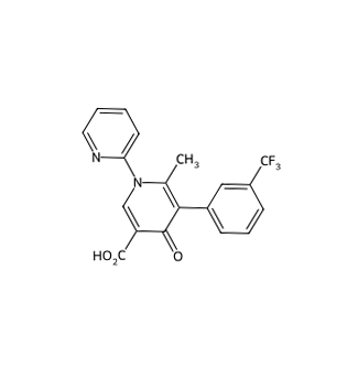 Cc1c(-c2cccc(C(F)(F)F)c2)c(=O)c(C(=O)O)cn1-c1ccccn1